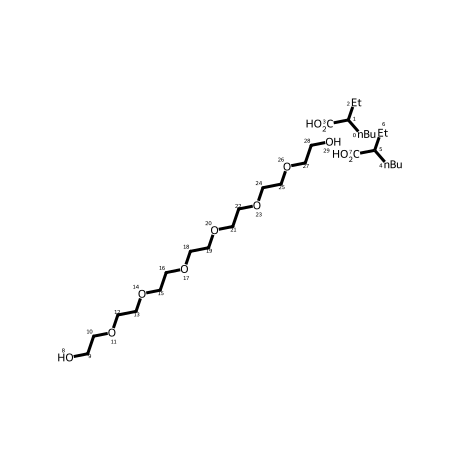 CCCCC(CC)C(=O)O.CCCCC(CC)C(=O)O.OCCOCCOCCOCCOCCOCCOCCO